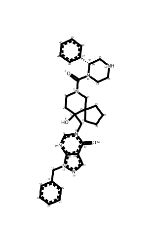 O=C(N1CCC(O)(Cn2cnc3c(cnn3Cc3ccccc3)c2=O)C2(CCCC2)C1)N1CCNC[C@H]1c1ccccc1